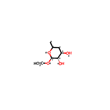 CC1C[C@@H](O)[C@H](O)[C@@H](OC(=O)O)O1